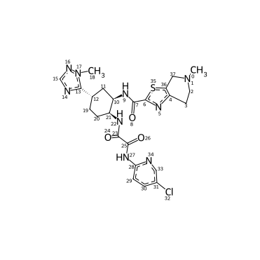 CN1CCc2nc(C(=O)N[C@@H]3C[C@@H](c4ncnn4C)CC[C@@H]3NC(=O)C(=O)Nc3ccc(Cl)cn3)sc2C1